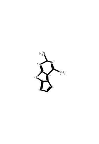 NC1=NC(N)N=c2sc3c(c21)C=CC=3